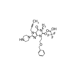 CC#CCn1c(N2CCNCC2)nc2c1c(=O)n(C)c(=O)n2CCOCc1ccccc1.O=C(O)C(F)(F)F